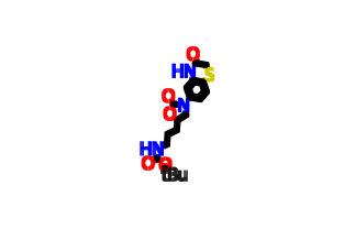 CC(C)(C)OC(=O)NCCCC1CN(c2ccc3c(c2)NC(=O)CS3)C(=O)O1